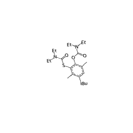 CCN(CC)C(=O)Oc1c(C)cc(C(C)(C)C)c(C)c1SC(=O)N(CC)CC